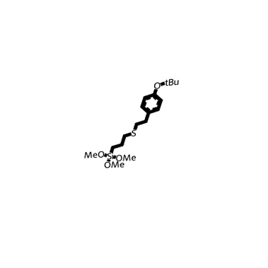 CO[Si](CCCSCCc1ccc(OC(C)(C)C)cc1)(OC)OC